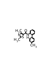 Cc1ccc(-c2ccccc2NC(=O)c2sc(C)nc2C)cc1